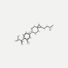 CNCCC1CC12CCN(c1ccc(C(=O)N(C)C)c(Cl)c1)CC2